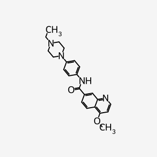 CCN1CCN(c2ccc(NC(=O)c3ccc4c(OC)ccnc4c3)cc2)CC1